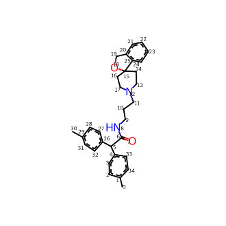 Cc1ccc(C(C(=O)NCCCN2CCC3(CC2)OCc2ccccc23)c2ccc(C)cc2)cc1